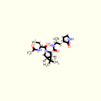 CC(C)C[C@H](NC(=O)C(F)(F)F)C(=O)N1C[C@H]2[C@@H]([C@H]1C(=O)N[C@H](C#N)C[C@@H]1CCNC1=O)C2(C)C